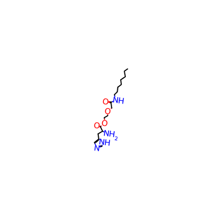 CCCCCCCCNC(=O)COCCOC(=O)C(N)Cc1cnc[nH]1